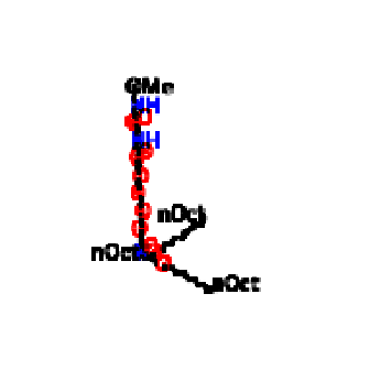 CCCCCCCC/C=C\CCCCCCCCOCC(CN(CCCCCCCC)C(=O)CCOCCOCCOCCOCCOC(=O)CNCCOC(=O)CNCCOC)OCCCCCCCC/C=C\CCCCCCCC